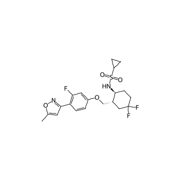 Cc1cc(-c2ccc(OC[C@H]3CC(F)(F)CC[C@@H]3NS(=O)(=O)C3CC3)cc2F)no1